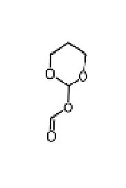 O=COC1OCCCO1